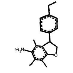 CCc1ccc(C2COc3c(C)c(C)c(N)c(C)c32)cc1